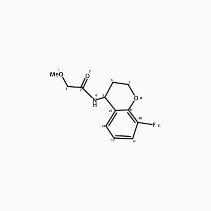 COCC(=O)NC1CCOc2c(F)cccc21